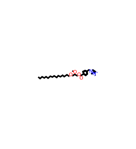 CCCCCCCCCCCCCCCCOCC(COC(=O)c1ccc(Cn2cc[n+](C)c2)cc1)OC